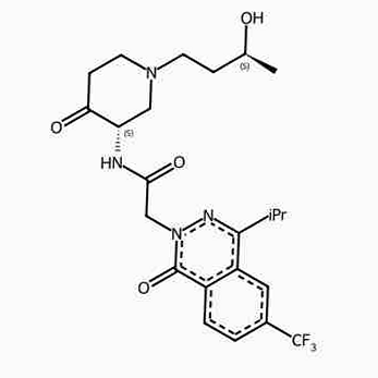 CC(C)c1nn(CC(=O)N[C@H]2CN(CC[C@H](C)O)CCC2=O)c(=O)c2ccc(C(F)(F)F)cc12